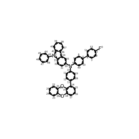 Fc1ccc(-c2ccc(N(c3ccc(-c4cccc5c4Oc4ccccc4O5)cc3)c3ccc4c(c3)c3ccccc3n4-c3ccccc3)cc2)cc1